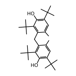 Cc1cc(C(C)(C)C)c(O)c(C(C)(C)C)c1Cc1c(C)cc(C(C)(C)C)c(O)c1C(C)(C)C